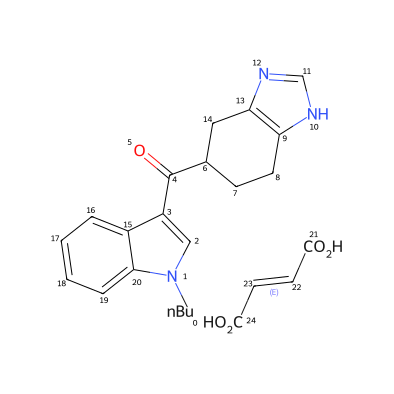 CCCCn1cc(C(=O)C2CCc3[nH]cnc3C2)c2ccccc21.O=C(O)/C=C/C(=O)O